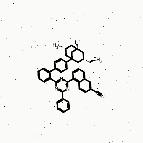 CC[C@H]1C[C@H]2C[C@@H](C)CC(c3ccc(-c4ccccc4-c4nc(-c5ccccc5)nc(-c5cccc6cc(C#N)ccc56)n4)cc3)(C2)C1